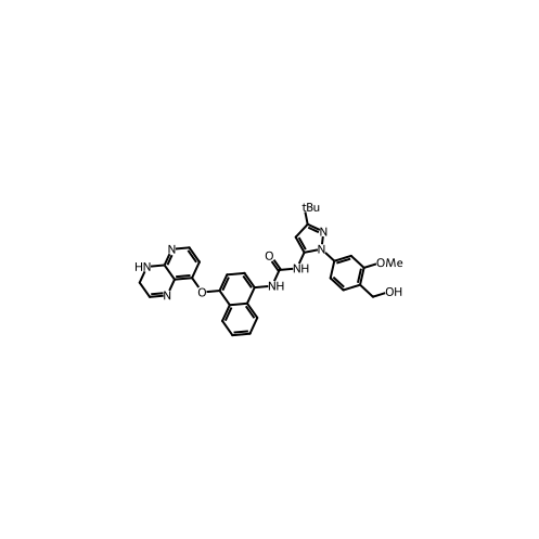 COc1cc(-n2nc(C(C)(C)C)cc2NC(=O)Nc2ccc(Oc3ccnc4c3N=CCN4)c3ccccc23)ccc1CO